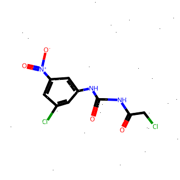 O=C(CCl)NC(=O)Nc1cc(Cl)cc([N+](=O)[O-])c1